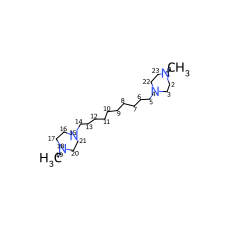 CN1CCN(CCCCCCCCCCN2CCN(C)CC2)CC1